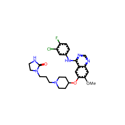 COc1cc2ncnc(Nc3ccc(F)c(Cl)c3)c2cc1OC1CCN(CCCN2CCNC2=O)CC1